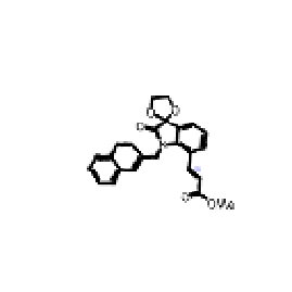 COC(=O)/C=C/c1cccc2c1N(Cc1ccc3ccccc3c1)C(=O)C21OCCO1